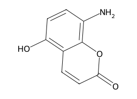 Nc1ccc(O)c2ccc(=O)oc12